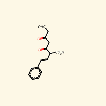 O=CCC(=O)CC(=O)C(C=Cc1ccccc1)C(=O)O